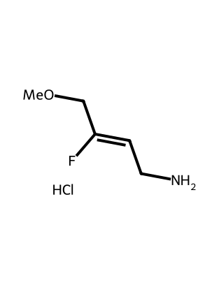 COCC(F)=CCN.Cl